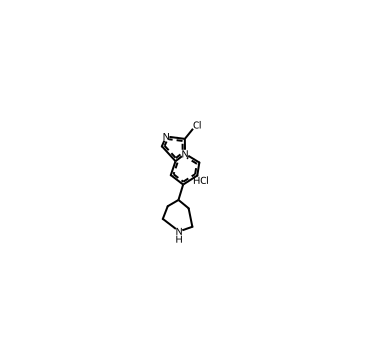 Cl.Clc1ncc2cc(C3CCNCC3)ccn12